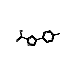 Cc1ccc(-c2coc(C(=O)O)c2)cc1